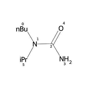 CCCCN(C(N)=O)C(C)C